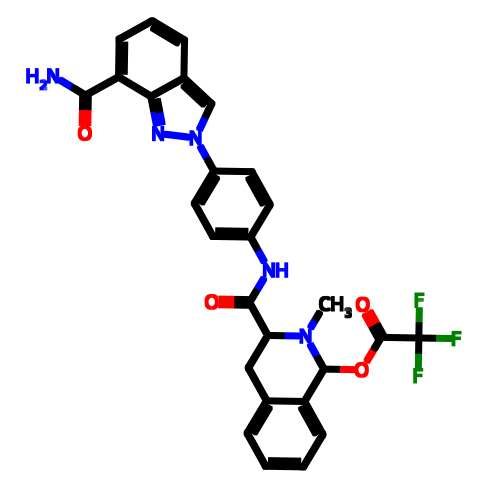 CN1C(C(=O)Nc2ccc(-n3cc4cccc(C(N)=O)c4n3)cc2)Cc2ccccc2C1OC(=O)C(F)(F)F